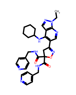 CCn1ncc2c(NC3CCCCC3)c(C3=NOC(C(=O)NCc4ccncc4)(C(=O)NCc4ccncc4)C3)cnc21